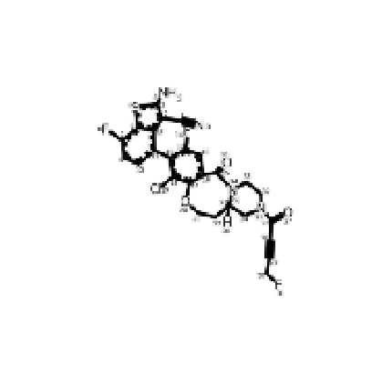 N#Cc1c(N)sc2c(F)ccc(-c3c(F)cc4c(c3Cl)OCC[C@H]3CN(C(=O)C#CCF)CCN3C4=O)c12